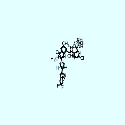 Cc1cc([C@@H](C)Nc2ccc(Cl)nc2C(=O)NS(C)(=O)=O)c2nc(N3C[C@@H]4C(c5cn(CC(F)(F)F)nn5)[C@@H]4C3)n(C)c(=O)c2c1